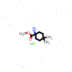 COC(=O)C1(N)CCC(C)(C)CC1.Cl